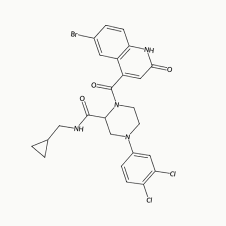 O=C(NCC1CC1)C1CN(c2ccc(Cl)c(Cl)c2)CCN1C(=O)c1cc(=O)[nH]c2ccc(Br)cc12